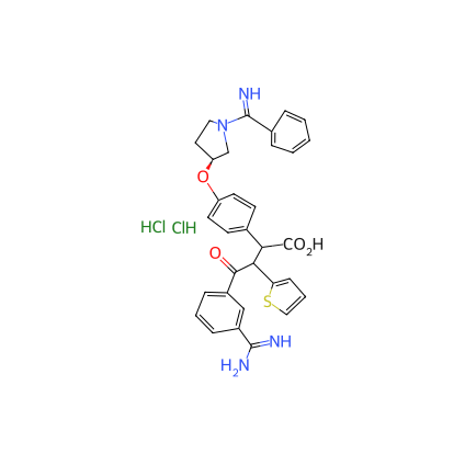 Cl.Cl.N=C(N)c1cccc(C(=O)C(c2cccs2)C(C(=O)O)c2ccc(O[C@H]3CCN(C(=N)c4ccccc4)C3)cc2)c1